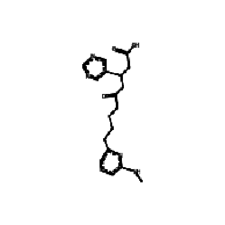 CNc1cccc(CCCCC(=O)CC(CC(=O)O)c2cncnc2)n1